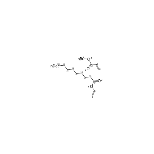 C=CC(=O)OCCCC.C=COC(=O)CCCCCCCCCCCCCCCCC